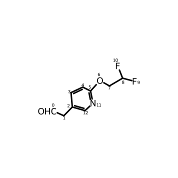 O=CCc1ccc(OCC(F)F)nc1